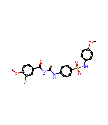 COc1ccc(NS(=O)(=O)c2ccc(NC(=S)NC(=O)c3ccc(OC)c(Br)c3)cc2)cc1